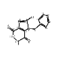 CCc1nc2c(=O)[nH][nH]c(=O)c2n1Cc1ccccc1